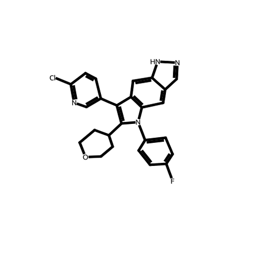 Fc1ccc(-n2c(C3CCOCC3)c(-c3ccc(Cl)nc3)c3cc4[nH]ncc4cc32)cc1